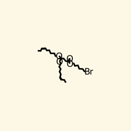 CC/C=C\CCCCCOC(CCC(=O)OCCCCCCBr)OCCCCC/C=C\CC